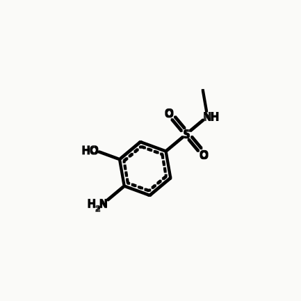 CNS(=O)(=O)c1ccc(N)c(O)c1